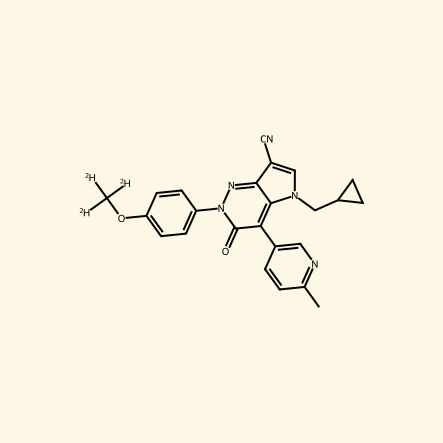 [2H]C([2H])([2H])Oc1ccc(-n2nc3c(C#N)cn(CC4CC4)c3c(-c3ccc(C)nc3)c2=O)cc1